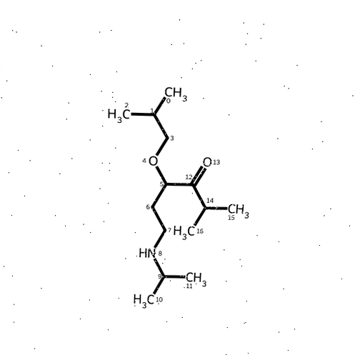 CC(C)COC(CCNC(C)C)C(=O)C(C)C